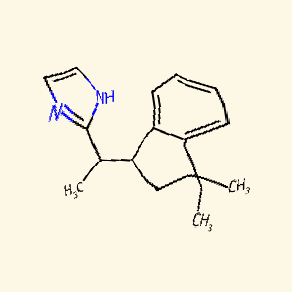 CC(c1ncc[nH]1)C1CC(C)(C)c2ccccc21